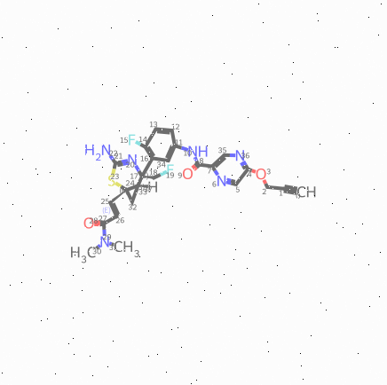 C#CCOc1cnc(C(=O)Nc2ccc(F)c([C@@]3(CF)N=C(N)S[C@@]4(/C=C/C(=O)N(C)C)C[C@H]43)c2)cn1